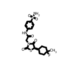 CC1(F)CCC(=C2SC(=O)N(CC(=O)Nc3ccc(S(N)(=O)=O)cc3)C2=O)CC1